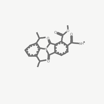 CNC(=O)c1ccc2c(c1C(=O)OC)C(=O)N(c1c(C(C)C)cccc1C(C)C)C2=O